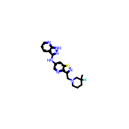 CC1(F)CCCN(Cc2nsc3cc(Nc4n[nH]c5ncccc45)cnc23)C1